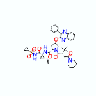 C=C[C@@H]1C[C@]1(NC(=O)[C@@H]1C[C@@H](Oc2nc3ccccc3nc2-c2ccccc2)CN1C(=O)[C@@H](CC(=O)N1CCCCC1)C(C)(C)C)C(=O)NS(=O)(=O)C1CC1